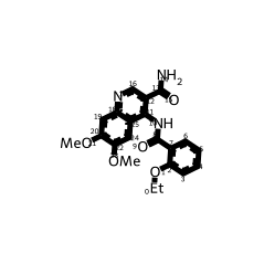 CCOc1ccccc1C(=O)Nc1c(C(N)=O)cnc2cc(OC)c(OC)cc12